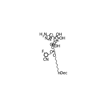 CCCCCCCCCCCCCCCCCCOC[C@H](COP(=O)(O)OC[C@@]1(C)O[C@@H](C2CC=C3C(N)=NC=NN32)[C@H](O)[C@@H]1O)OCc1cc(F)cc(C#N)c1